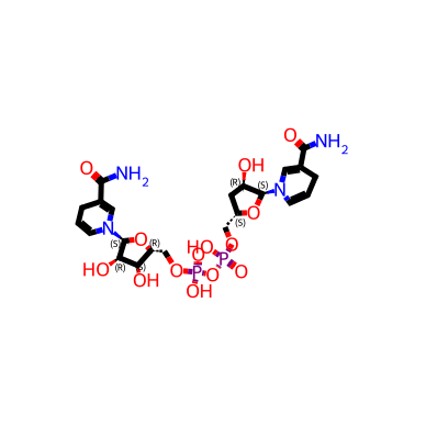 NC(=O)C1=CN([C@H]2O[C@H](COP(=O)(O)OP(=O)(O)OC[C@@H]3C[C@@H](O)[C@@H](N4C=CCC(C(N)=O)=C4)O3)[C@@H](O)[C@H]2O)C=CC1